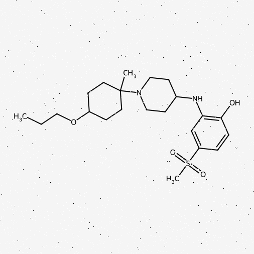 CCCOC1CCC(C)(N2CCC(Nc3cc(S(C)(=O)=O)ccc3O)CC2)CC1